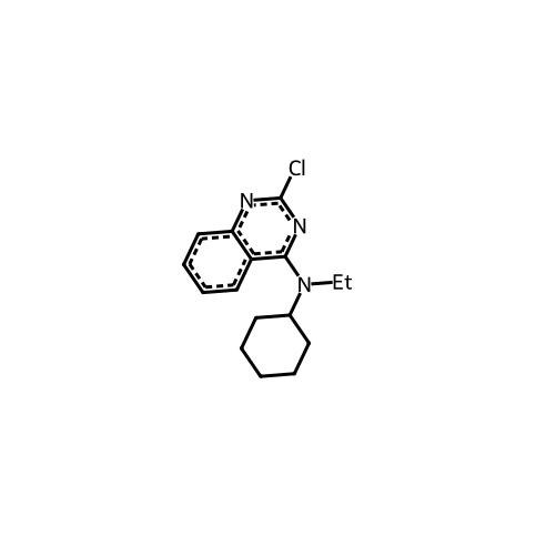 CCN(c1nc(Cl)nc2ccccc12)C1CCCCC1